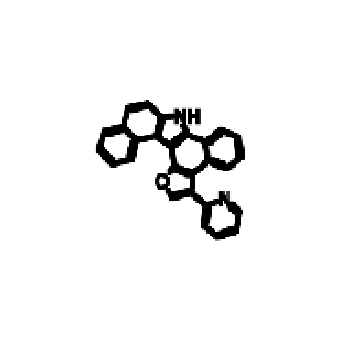 c1ccc(-c2coc3c2c2ccccc2c2[nH]c4ccc5ccccc5c4c23)nc1